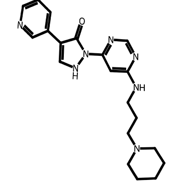 O=c1c(-c2cccnc2)c[nH]n1-c1cc(NCCCN2CCCCC2)ncn1